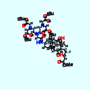 COC(=O)CC[C@@H](C)[C@H]1CC[C@H]2[C@@H]3[C@H](O)C[C@@H]4C[C@@H](NC(=O)CN(CCN(CC(=O)OC(C)(C)C)CC(=O)OC(C)(C)C)CCN(CC(=O)OC(C)(C)C)CC(=O)OC(C)(C)C)CC[C@]4(C)[C@H]3C[C@H](O)[C@]12C